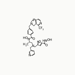 CC(C)CN(Cc1ccc(C(=O)N(O)C(C)CN(Cc2cccnc2)Cc2cc(C(=O)NO)on2)cc1)Cc1cccnc1C(F)(F)F